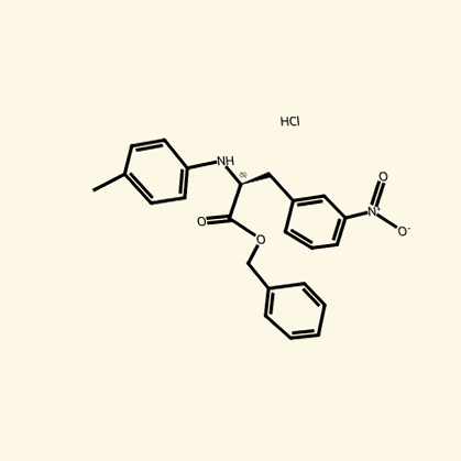 Cc1ccc(N[C@@H](Cc2cccc([N+](=O)[O-])c2)C(=O)OCc2ccccc2)cc1.Cl